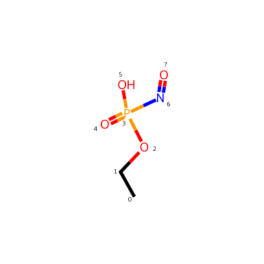 CCOP(=O)(O)N=O